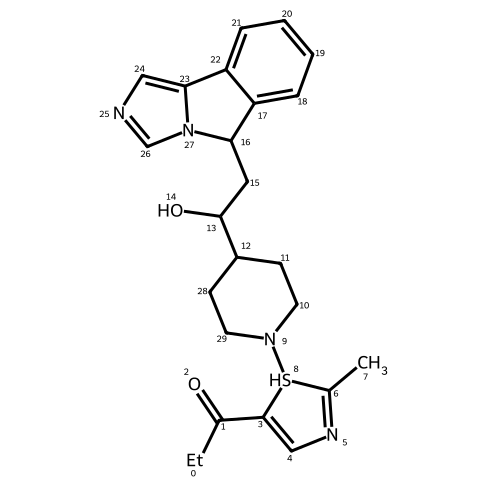 CCC(=O)C1=CN=C(C)[SH]1N1CCC(C(O)CC2c3ccccc3-c3cncn32)CC1